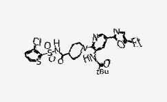 CCc1cnc(-c2cnc(N3CCC(C(=O)NS(=O)(=O)c4sccc4Cl)CC3)c(NC(=O)C(C)(C)C)c2)o1